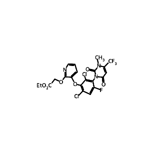 CCOC(=O)COc1ncccc1Oc1c(Cl)cc(F)c(-n2c(=O)cc(C(F)(F)F)n(C)c2=O)c1Cl